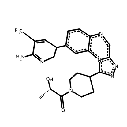 C[C@H](O)C(=O)N1CCC(c2nnc3cnc4ccc(C5C=C(C(F)(F)F)C(N)=NC5)cc4n23)CC1